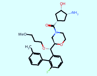 COCCCO[C@@H](c1cccc(F)c1-c1cccc(C)c1)[C@H]1CN(C(=O)[C@H]2C[C@@H](N)[C@@H](O)C2)CCO1